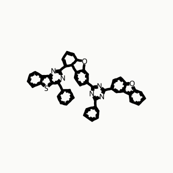 C1=CC2Oc3cc(-c4nc(-c5ccccc5)nc(-c5ccc6oc7ccccc7c6c5)n4)ccc3C2C(c2nc(-c3ccccc3)c3sc4ccccc4c3n2)=C1